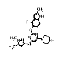 Cc1cc2c(F)c(Oc3nc(Nc4cc(C)n(C)n4)cc(N4CCNCC4)n3)ccc2[nH]1